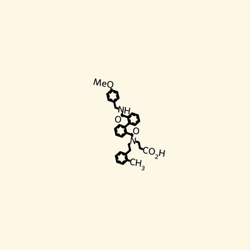 COc1ccc(CNC(=O)c2ccccc2-c2ccccc2C(=O)N(CCC(=O)O)CCc2ccccc2C)cc1